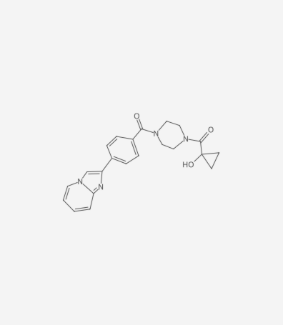 O=C(c1ccc(-c2cn3ccccc3n2)cc1)N1CCN(C(=O)C2(O)CC2)CC1